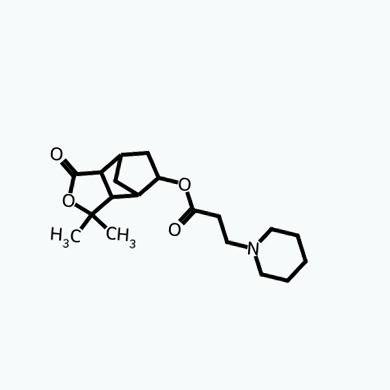 CC1(C)OC(=O)C2C3CC(OC(=O)CCN4CCCCC4)C(C3)C21